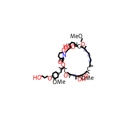 COCCO[C@@H]1C[C@@H]2CC[C@@H](C)[C@@](O)(O2)C(=O)C(=O)N2CCCC[C@H]2C(=O)O[C@H]([C@H](C)C[C@@H]2CC[C@@H](OCCCO)[C@H](OC)C2)CC(=O)[C@H](C)/C=C(\C)[C@@H](O)[C@@H](OC)C(=O)[C@H](C)C[C@H](C)/C=C/C=C/C=C/1C